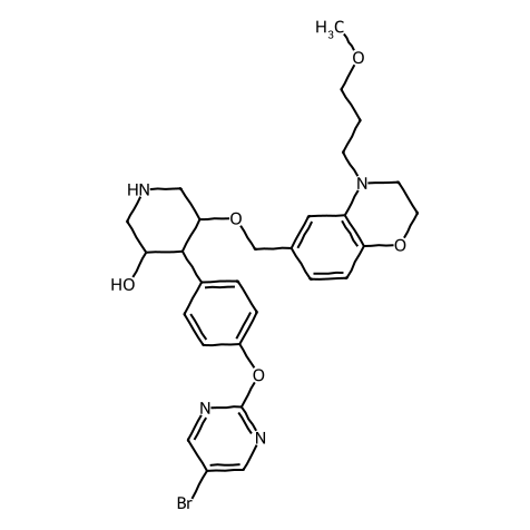 COCCCN1CCOc2ccc(COC3CNCC(O)C3c3ccc(Oc4ncc(Br)cn4)cc3)cc21